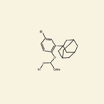 CCOC(OC)Oc1ccc(Br)cc1C12CC3CC(CC(C3)C1)C2